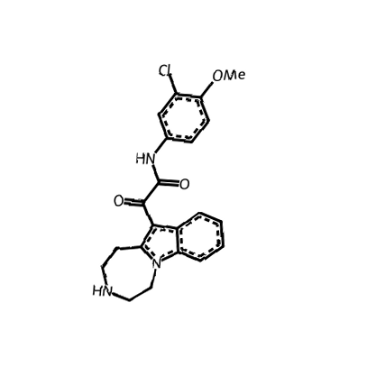 COc1ccc(NC(=O)C(=O)c2c3n(c4ccccc24)CCNCC3)cc1Cl